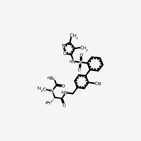 CCCCC(=O)N(C)[C@H](C(=O)NCc1ccc(-c2ccccc2S(=O)(=O)Nc2onc(C)c2C)c(C#N)c1)C(C)C